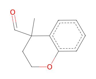 CC1(C=O)CCOc2ccccc21